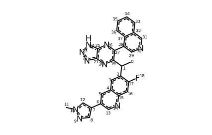 CC(c1cc2cc(-c3cnn(C)c3)cnc2cc1F)c1nc2nn[nH]c2nc1-c1cncc2ccccc12